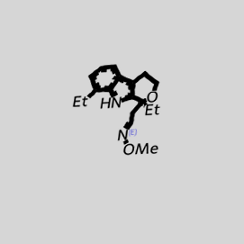 CCc1cccc2c3c([nH]c12)[C@@](CC)(C/C=N/OC)OCC3